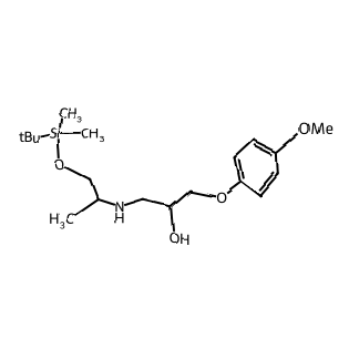 COc1ccc(OCC(O)CNC(C)CO[Si](C)(C)C(C)(C)C)cc1